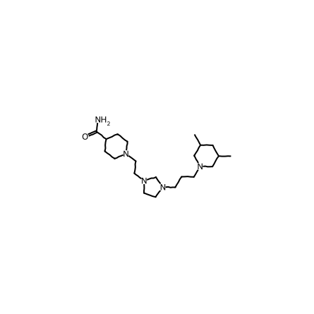 CC1CC(C)CN(CCCN2CCN(CCN3CCC(C(N)=O)CC3)C2)C1